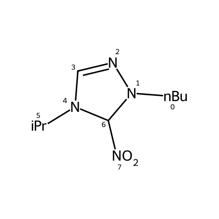 CCCCN1N=CN(C(C)C)C1[N+](=O)[O-]